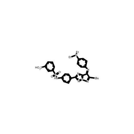 CCN(CC)c1ccc(/N=C2/C(C(C)(C)C)=Nn3nc(-c4ccc(NS(=O)(=O)c5cccc(S(=O)(=O)O)c5)cc4)nc32)cc1